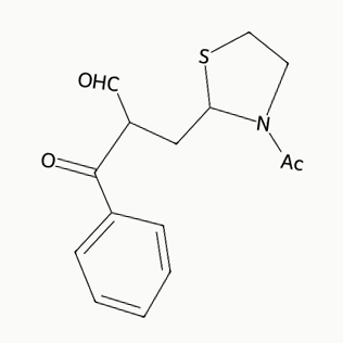 CC(=O)N1CCSC1CC(C=O)C(=O)c1ccccc1